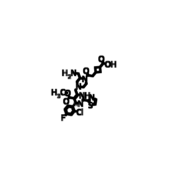 COC(=O)C1=C(CN2CCN(C(=O)CC3CC(C(=O)O)C3)C(CN)C2)NC(c2nccs2)=N[C@H]1c1ccc(F)cc1Cl